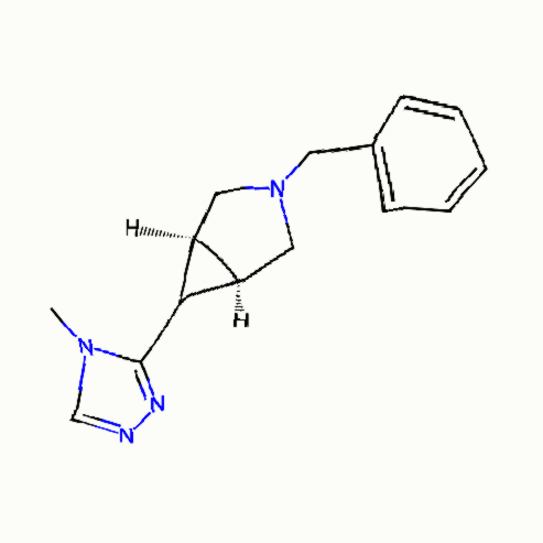 Cn1cnnc1C1[C@H]2CN(Cc3ccccc3)C[C@@H]12